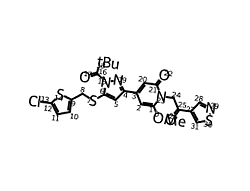 COc1cc(-c2cc(SCc3ccc(Cl)s3)n(C(=O)C(C)(C)C)n2)cc(=O)n1CC(=O)c1cnsc1